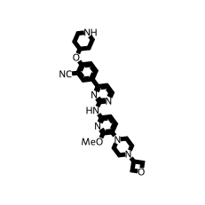 COc1nc(Nc2nccc(-c3ccc(OC4CCNCC4)c(C#N)c3)n2)ccc1N1CCN(C2COC2)CC1